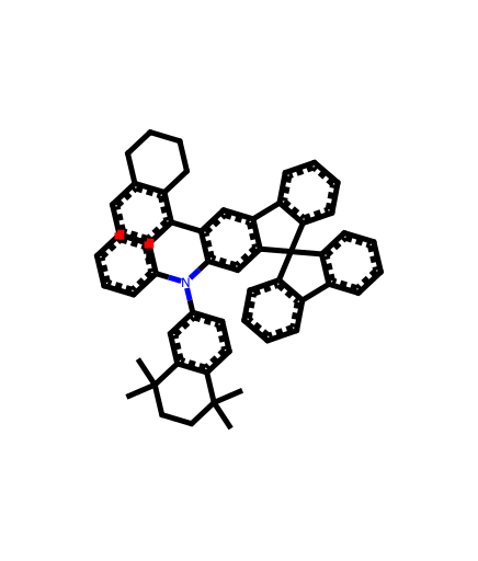 Cc1ccc2c(c1-c1cc3c(cc1N(c1ccccc1)c1ccc4c(c1)C(C)(C)CCC4(C)C)C1(c4ccccc4-c4ccccc41)c1ccccc1-3)CCCC2